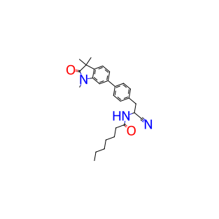 CCCCCCC(=O)NC(C#N)Cc1ccc(-c2ccc3c(c2)N(C)C(=O)C3(C)C)cc1